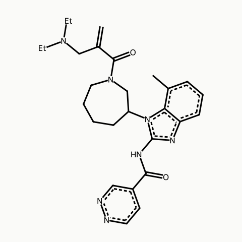 C=C(CN(CC)CC)C(=O)N1CCCCC(n2c(NC(=O)c3ccnnc3)nc3cccc(C)c32)C1